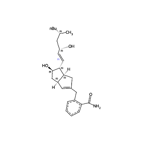 CCCC[C@H](C)C[C@H](O)/C=C/[C@@H]1[C@H]2CC(Cc3ccccc3C(N)=O)=C[C@H]2C[C@H]1O